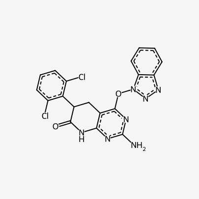 Nc1nc2c(c(On3nnc4ccccc43)n1)CC(c1c(Cl)cccc1Cl)C(=O)N2